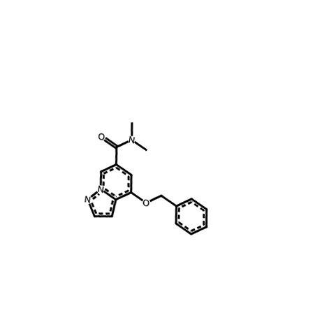 CN(C)C(=O)c1cc(OCc2ccccc2)c2ccnn2c1